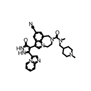 CN1CCC(CN(C)C(=O)N2CCn3cc(-c4c(-c5cnc6ccccn56)[nH][nH]c4=O)c4cc(C#N)cc(c43)C2)CC1